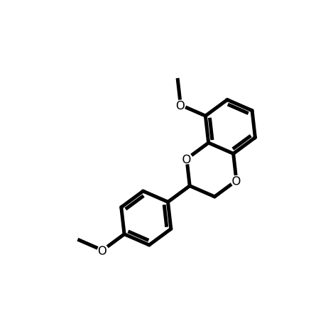 COc1ccc(C2COc3cccc(OC)c3O2)cc1